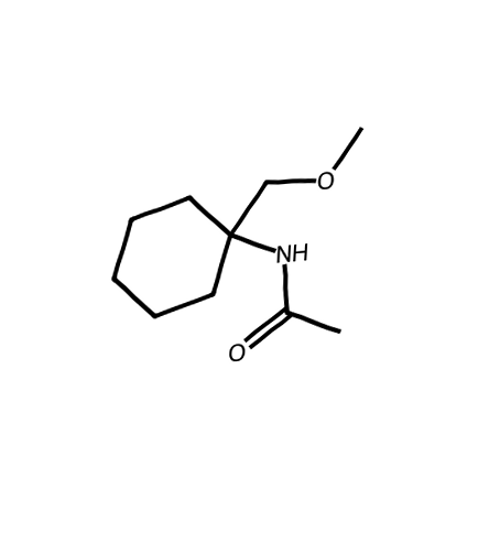 COCC1(NC(C)=O)CCCCC1